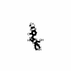 COc1cnc2ccc(-c3n[nH]c4nc(N5C6CCC5CNC6)c(CO)nc34)c(Cl)c2n1